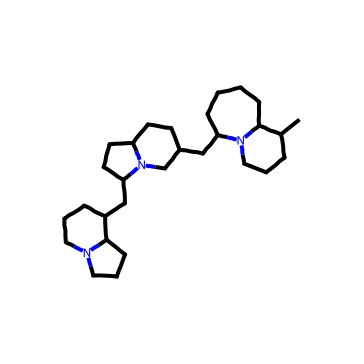 CC1CCCN2C(CC3CCC4CCC(CC5CCCN6CCCC56)N4C3)CCCCC12